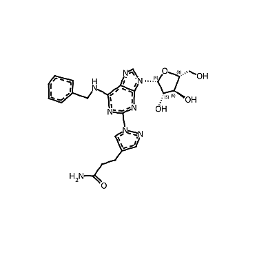 NC(=O)CCc1cnn(-c2nc(NCc3ccccc3)c3ncn([C@@H]4O[C@H](CO)[C@@H](O)[C@@H]4O)c3n2)c1